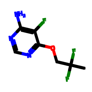 CC(F)(F)COc1ncnc(N)c1F